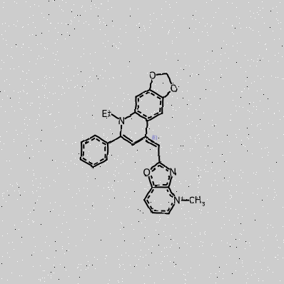 CCN1C(c2ccccc2)=C/C(=C\c2nc3c(ccc[n+]3C)o2)c2cc3c(cc21)OCO3